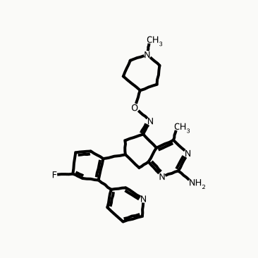 Cc1nc(N)nc2c1/C(=N/OC1CCN(C)CC1)CC(c1ccc(F)cc1-c1cccnc1)C2